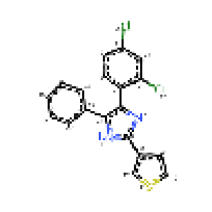 Clc1ccc(-c2nc(-c3ccsc3)[nH]c2-c2ccccc2)c(Cl)c1